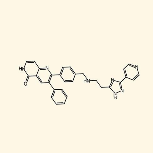 O=c1[nH]ccc2nc(-c3ccc(CNCCc4nc(-c5ccncc5)n[nH]4)cc3)c(-c3ccccc3)cc12